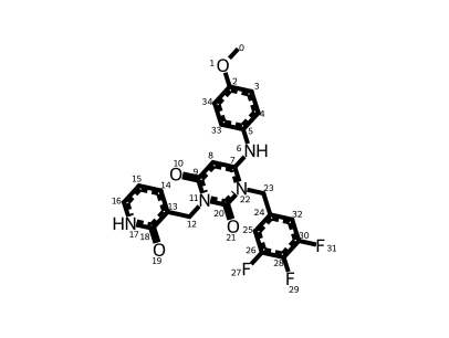 COc1ccc(Nc2cc(=O)n(Cc3ccc[nH]c3=O)c(=O)n2Cc2cc(F)c(F)c(F)c2)cc1